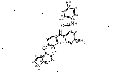 Bc1cnc(Nc2ccc(Oc3ccnc4[nH]ccc34)c(F)c2)c(C(=O)Nc2ccc(F)cc2F)c1